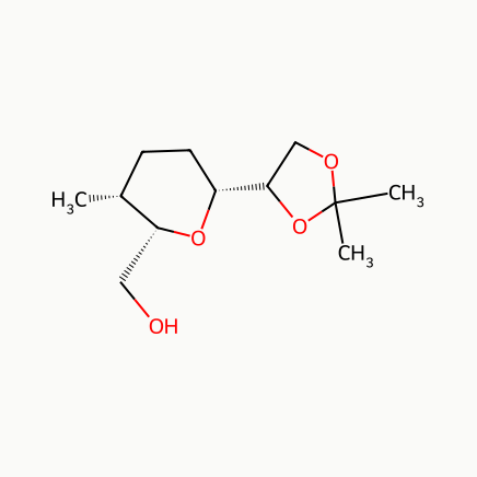 C[C@@H]1CC[C@H](C2COC(C)(C)O2)O[C@@H]1CO